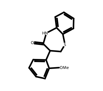 COc1ccccc1C1CSc2ccccc2NC1=O